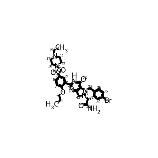 CCCOc1ccc(S(=O)(=O)N2CCN(CC)CC2)cc1-c1nc2c(c(=O)[nH]1)N(Cc1ccc(Br)cc1)N(CC(N)=O)C2